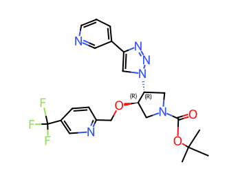 CC(C)(C)OC(=O)N1C[C@@H](n2cc(-c3cccnc3)nn2)[C@H](OCc2ccc(C(F)(F)F)cn2)C1